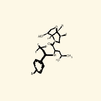 CC(C)CC(NC(c1ccc(Br)cc1)C(F)(F)F)C(=O)N1C[C@H](F)[C@H]2OC[C@H](O)[C@H]21